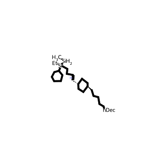 CCCCCCCCCCCCCCC[C@H]1CC[C@H](/C=C/CC[Si](CC)([SiH2]C)C2CCCCC2)CC1